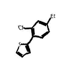 CCc1ccc(-c2cccs2)c(Cl)c1